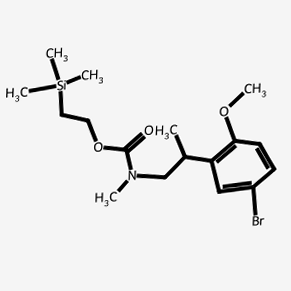 COc1ccc(Br)cc1C(C)CN(C)C(=O)OCC[Si](C)(C)C